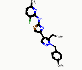 COCc1c(-c2csc(Nc3nc(C)ccc3F)n2)cnn1Cc1ccc(OC)cc1